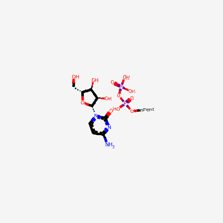 CCCCCOP(=O)(O)OP(=O)(O)O.Nc1ccn([C@@H]2O[C@H](CO)[C@@H](O)[C@H]2O)c(=O)n1